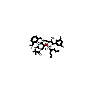 CCCC(CCC)S(=O)(=O)CC(CN1C(=O)NC(C)(C)C1=O)C(=O)N(Cc1cccc(CC)c1)C[C@@H](O)[C@@H](N)Cc1cc(F)cc(F)c1